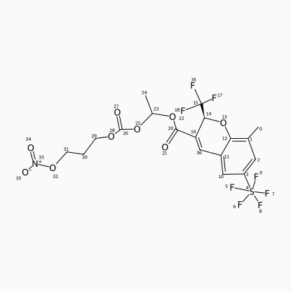 Cc1cc(S(F)(F)(F)(F)F)cc2c1O[C@H](C(F)(F)F)C(C(=O)OC(C)OC(=O)OCCCO[N+](=O)[O-])=C2